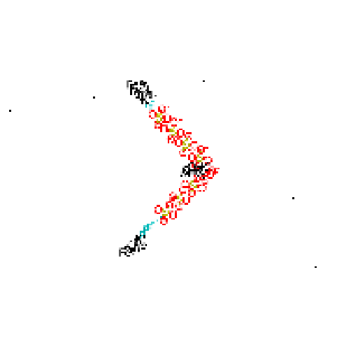 O=C[O-].O=C[O-].O=C[O-].O=S(=O)([O-])[O-].O=S(=O)([O-])[O-].O=S(=O)([O-])[O-].O=S(=O)([O-])[O-].O=S(=O)([O-])[O-].O=S(=O)([O-])[O-].O=S(=O)([O-])[O-].[Cr+3].[Cr+3].[Cr+3].[F-].[F-].[F-].[F-].[F-].[F-].[F-].[Fe+3].[Fe+3].[Fe+3].[Fe+3].[K+].[K+].[K+]